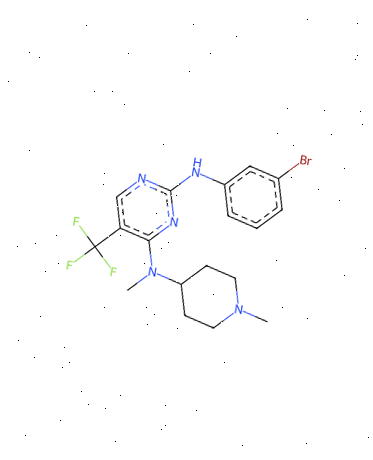 CN1CCC(N(C)c2nc(Nc3cccc(Br)c3)ncc2C(F)(F)F)CC1